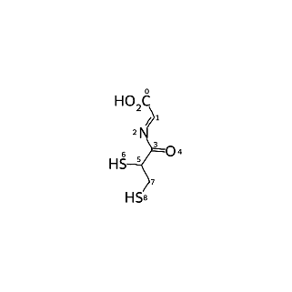 O=C(O)C=NC(=O)C(S)CS